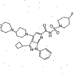 O=C(NS(=O)(=O)N1CCC(F)CC1)c1cc(N2CCC(N3CCOCC3)CC2)c2c(C3CCC3)nn(-c3ccccc3)c2n1